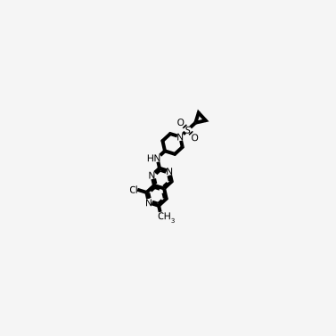 Cc1cc2cnc(NC3CCN(S(=O)(=O)C4CC4)CC3)nc2c(Cl)n1